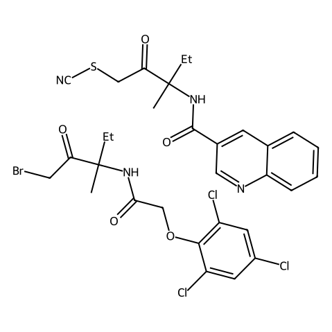 CCC(C)(NC(=O)COc1c(Cl)cc(Cl)cc1Cl)C(=O)CBr.CCC(C)(NC(=O)c1cnc2ccccc2c1)C(=O)CSC#N